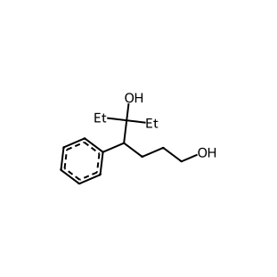 CCC(O)(CC)C(CCCO)c1ccccc1